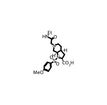 CCNC(=O)CN1CC[C@H]2C[C@@H](C(=O)O)N(S(=O)(=O)c3ccc(OC)cc3)[C@H]2C1